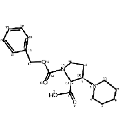 O=C(O)[C@@H]1[C@H](N2CCCCC2)CCN1C(=O)OCc1ccccc1